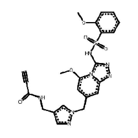 C#CC(=O)NCc1cnn(Cc2cc(OC)n3c(NS(=O)(=O)c4ccccc4OC)nnc3c2)c1